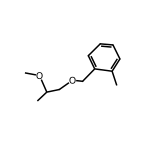 COC(C)COCc1ccccc1C